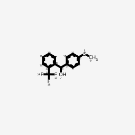 CSc1ccc(C(O)c2ccccc2C(F)(F)F)cc1